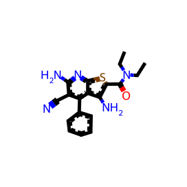 CCN(CC)C(=O)c1sc2nc(N)c(C#N)c(-c3ccccc3)c2c1N